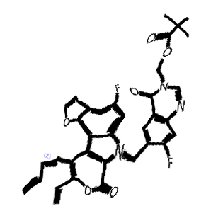 C=C/C=C\c1c(C=C)oc(=O)c2c1c1c3occc3c(F)cc1n2Cc1cc2c(=O)n(COC(=O)C(C)(C)C)cnc2cc1F